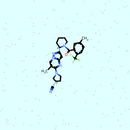 Cc1ccc(C(F)(F)F)c(C(=O)N2CCCC[C@H]2c2cc3nc(N4CC[C@H](C#N)C4)c(C)cn3n2)c1